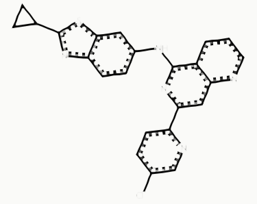 Clc1ccc(-c2cc3ncccc3c(Nc3ccc4nc(C5CC5)sc4c3)n2)nc1